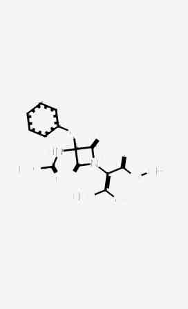 COC(=O)C(=C(C)C)N1C(=O)C(NC(C)=O)(Oc2ccccc2)C1=S